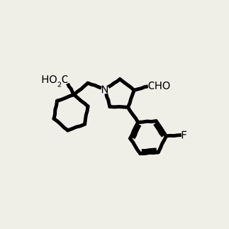 O=CC1CN(CC2(C(=O)O)CCCCC2)CC1c1cccc(F)c1